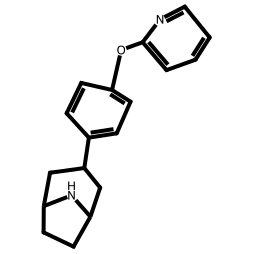 c1ccc(Oc2ccc(C3CC4CCC(C3)N4)cc2)nc1